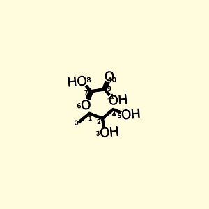 CCC(O)CO.O=C(O)C(=O)O